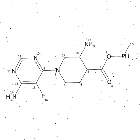 CPOC(=O)C1CCN(c2ncnc(N)c2F)CC1N